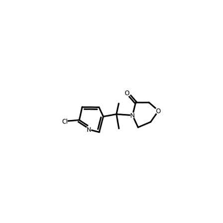 CC(C)(c1ccc(Cl)nc1)N1CCOCC1=O